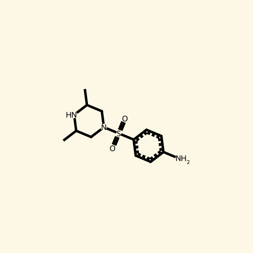 CC1CN(S(=O)(=O)c2ccc(N)cc2)CC(C)N1